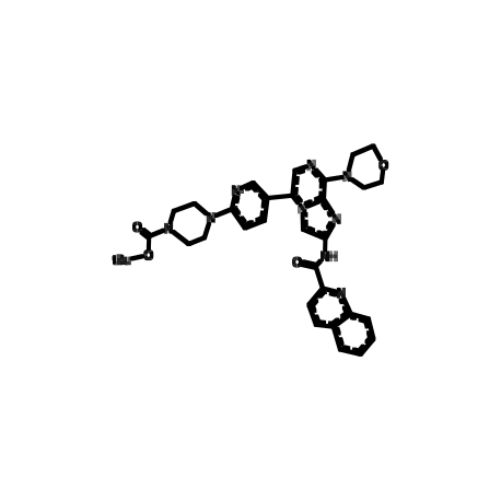 CC(C)(C)OC(=O)N1CCN(c2ccc(-c3cnc(N4CCOCC4)c4nc(NC(=O)c5ccc6ccccc6n5)cn34)cn2)CC1